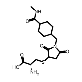 CNC(=O)C1CCC(CN2C(=O)CC(SC[C@H](N)C(=O)O)C2=O)CC1